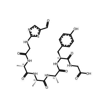 C[C@H](NC(=O)CNc1ncc(C=O)s1)C(=O)N[C@@H](C)C(=O)N[C@@H](C)C(=O)N[C@@H](Cc1ccc(O)cc1)C(=O)NCC(=O)O